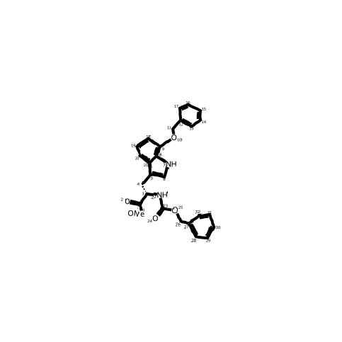 COC(=O)[C@H](Cc1c[nH]c2c(OCc3ccccc3)cccc12)NC(=O)OCc1ccccc1